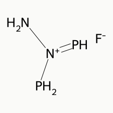 N[N+](=P)P.[F-]